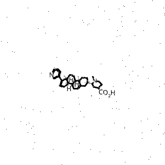 CN1CCC(C(=O)O)CC1[C@H]1CC[C@@]2(C)C(=CC[C@@H]3[C@@H]2CC[C@]2(C)C(c4cccnc4)=CC[C@@H]32)C1